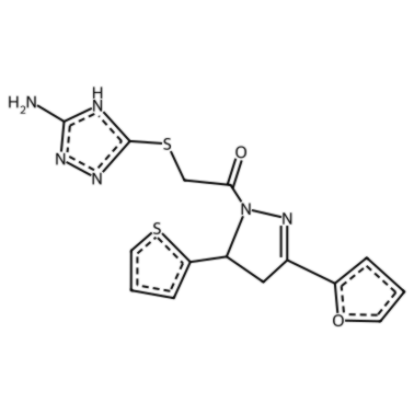 Nc1nnc(SCC(=O)N2N=C(c3ccco3)CC2c2cccs2)[nH]1